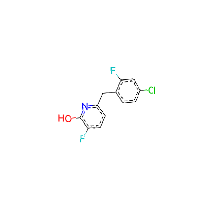 Oc1nc(Cc2ccc(Cl)cc2F)ccc1F